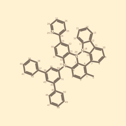 Cc1ccc2c3c1-c1cccc4c5ccccc5n(c14)B3c1cc(-c3ccccn3)ccc1N2c1cc(-c2ccccc2)cc(-c2ccccc2)c1